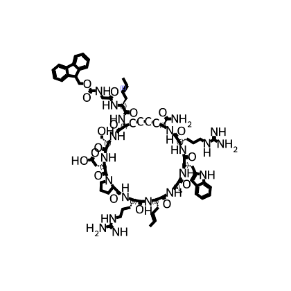 CC=CC[C@@H]1NC(=O)[C@H](CCCNC(=N)N)NC(=O)C2CCCN2C(=O)[C@H](CC(=O)O)NC(=O)[C@H](CO)NC(=O)[C@@H](NC(=O)[C@H](C/C=C/C)NC(=O)CNC(=O)OCC2c3ccccc3-c3ccccc32)CCCC[C@@H](C(N)=O)NC(=O)[C@H](CCCNC(=N)N)NC(=O)[C@H](Cc2cc3ccccc3[nH]2)NC(=O)[C@H](C)NC1=O